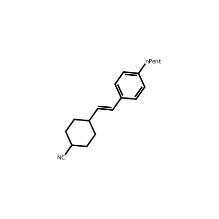 CCCCCc1ccc(C=CC2CCC(C#N)CC2)cc1